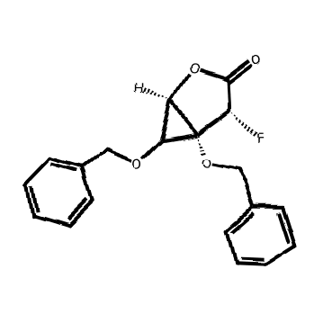 O=C1O[C@@H]2C(OCc3ccccc3)[C@]2(OCc2ccccc2)[C@H]1F